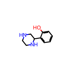 Oc1ccccc1C1CNCCN1